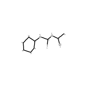 CC(Cl)OC(I)OC1CCCCC1